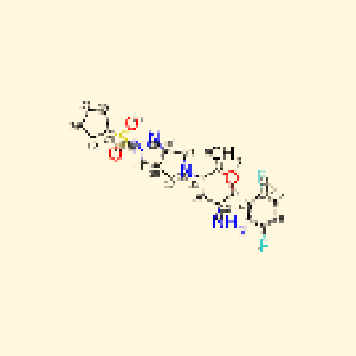 C[C@@H]1O[C@H](c2cc(F)ccc2F)[C@@H](N)C[C@H]1N1Cc2cn(S(=O)(=O)C3CCCC3)nc2C1